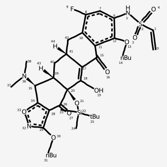 C=CS(=O)(=O)Nc1cc(F)c2c(c1OCCCC)C(=O)C1=C(O)[C@]3(O[Si](C)(C)C(C)(C)C)C(=O)c4c(OCCCC)noc4[C@@H](N(C)C)[C@@H]3C[C@@H]1C2